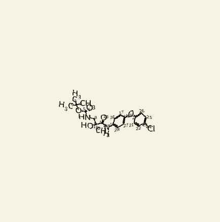 CC(C)(C)OC(=O)NC[C@](C)(O)C(=O)Nc1ccc(Oc2ccc(Cl)cc2)cc1